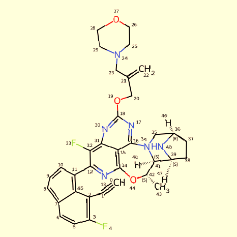 C#Cc1c(F)ccc2cccc(-c3nc4c5c(nc(OCC(=C)CN6CCOCC6)nc5c3F)N3C[C@H]5CC[C@H](N5)[C@H]3[C@H](C)O4)c12